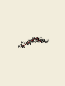 CNC(CNC(=O)OC(C)c1cc(CNC(=O)CCC(=O)NCCOCCOCCNC(=O)CCCCC2SCC3NC(=O)NC32)ccc1[N+](=O)[O-])C(=O)O